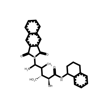 CCC[C@H](C(=O)NC1CCCc2ccccc21)[C@H](C(=O)O)C(C)C(N)N1C(=O)c2cc3ccccc3cc2C1=O